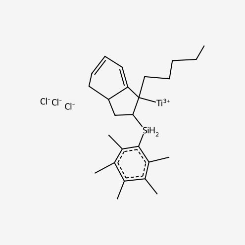 CCCCC[C]1([Ti+3])C2=CC=CCC2CC1[SiH2]c1c(C)c(C)c(C)c(C)c1C.[Cl-].[Cl-].[Cl-]